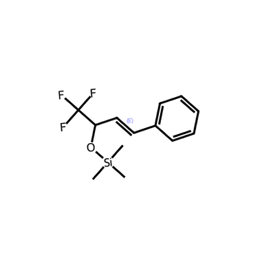 C[Si](C)(C)OC(/C=C/c1ccccc1)C(F)(F)F